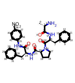 C[C@H](N)C(=O)N[C@@H](Cc1ccccc1)C(=O)N1CCC[C@H]1C(=O)N[C@@H](Cc1ccccc1)C(=O)Nc1ccc([N+](=O)[O-])cc1